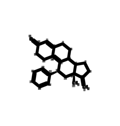 C=C1CCC2C3CCC4=CC(=O)CCC4=C3[C@@H](c3ccccc3)C[C@]12C